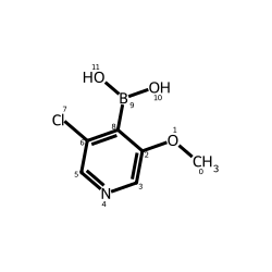 COc1cncc(Cl)c1B(O)O